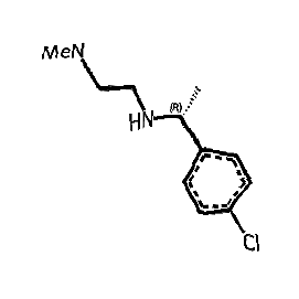 CNCCN[C@H](C)c1ccc(Cl)cc1